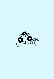 Cc1ccc(OC2CCC(Oc3ccc(C)c(C)c3)O2)cc1C